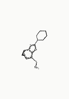 NSc1cccc2sc(C3CCCCC3)nc12